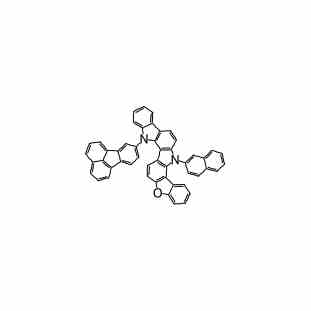 c1ccc2cc(-n3c4ccc5c6ccccc6n(-c6ccc7c(c6)-c6cccc8cccc-7c68)c5c4c4ccc5oc6ccccc6c5c43)ccc2c1